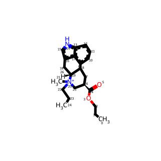 CCCOC(=O)[C@@H]1CC2c3cccc4[nH]cc(c34)C[C@H]2[N+](C)(CCC)C1